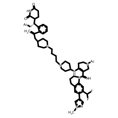 C=C(CC1CCN(CCCCN2CCC(NC3=C(C(=N)N4CCCc5cc(-c6cnn(C)c6)c(C(F)F)cc54)CN(C(C)=O)CC3)CC2)CC1)c1ccccc1[C@H](CC(C)=O)C1CCC(=O)NC1=O